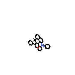 CC1(C)c2c(-c3ccccc3)cccc2-c2c(N(c3ccccc3)c3ccccc3)ccc3cccc1c23